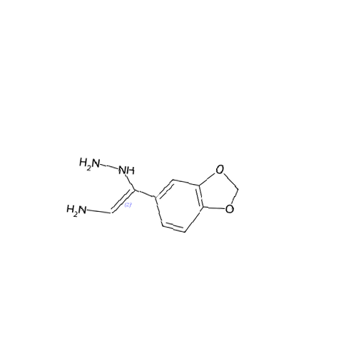 N/C=C(\NN)c1ccc2c(c1)OCO2